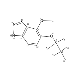 COc1c(O[Si](C)(C)C(C)(C)C)ccc2[nH]ncc12